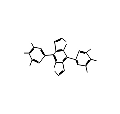 Fc1cc(-c2c3ccsc3c(-c3cc(F)c(F)c(F)c3)c3ccsc23)cc(F)c1F